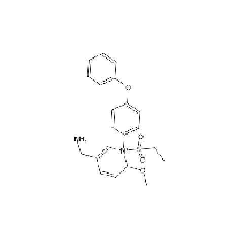 CCS(=O)(=O)[N+]1(c2ccc(Oc3ccccc3)cc2)C=C(CN)C=CC1OC